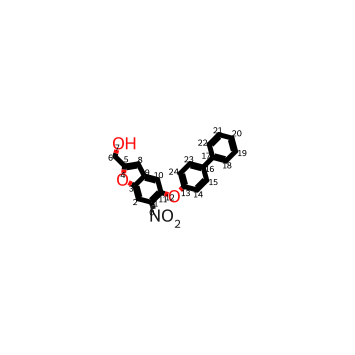 O=[N+]([O-])c1cc2oc(CO)cc2cc1Oc1ccc(-c2ccccc2)cc1